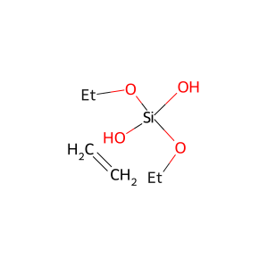 C=C.CCO[Si](O)(O)OCC